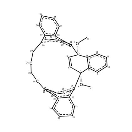 CO[C@@]12C=C[C@@](OC)(c3ccccc31)c1ccc(c3ccccc13)CCCCc1ccc2c2ccccc12